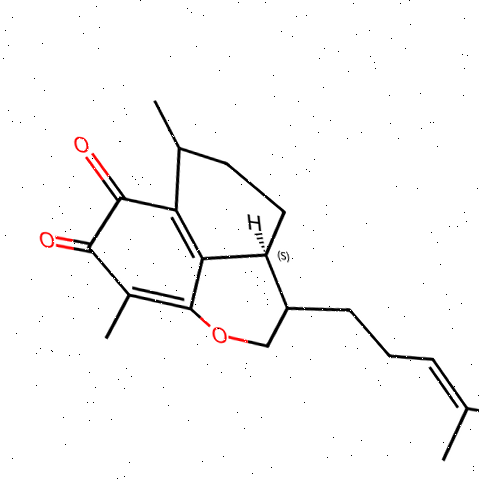 CC(C)=CCCC1COC2=C(C)C(=O)C(=O)C3=C2[C@H]1CCC3C